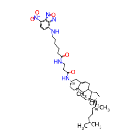 CC(C)CCC[C@@H](C)[C@H]1CCC2C3CC=C4C[C@@H](NC(=O)CCNC(=O)CCCCCNc5ccc([N+](=O)[O-])c6nonc56)CC[C@]4(C)C3CC[C@@]21C